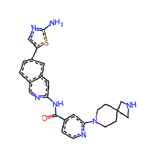 Nc1ncc(-c2ccc3cnc(NC(=O)c4ccnc(N5CCC6(CC5)CNC6)c4)cc3c2)s1